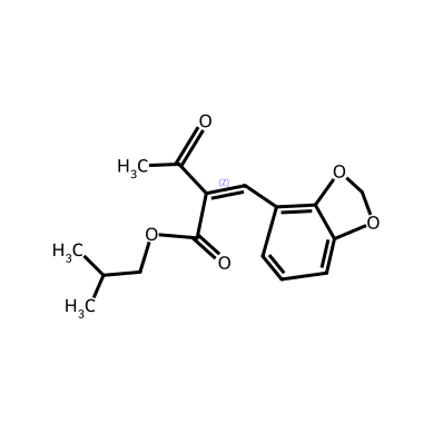 CC(=O)/C(=C/c1cccc2c1OCO2)C(=O)OCC(C)C